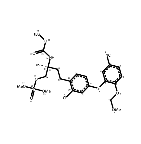 [C-]#[N+]c1ccc(OCOC)c(Sc2ccc(CC[C@@](C)(COP(=O)(OC)OC)NC(=O)OC(C)(C)C)c(Cl)c2)c1